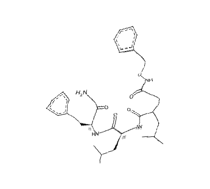 CC(C)CC(CC(=O)NOCc1ccccc1)C(=O)N[C@@H](CC(C)C)C(=O)N[C@@H](Cc1ccccc1)C(N)=O